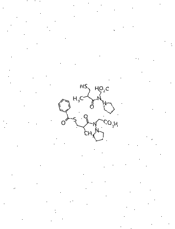 CC(CS)C(=O)N(CC(=O)O)N1CCCC1.CC(CSC(=O)c1ccccc1)C(=O)N(CC(=O)O)N1CCCC1